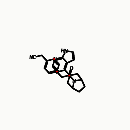 N#CCc1ccc(CC(=O)N2C3CCC2CN(c2ncnc4[nH]ccc24)C3)cc1